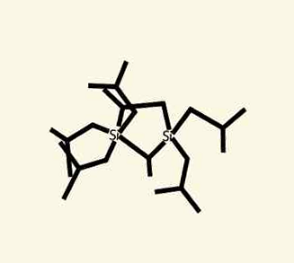 CC(C)C[Si](CC(C)C)(CC(C)C)C(C)[Si](CC(C)C)(CC(C)C)CC(C)C